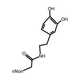 CCCCCCCCCCC(=O)NCCc1ccc(O)c(O)c1